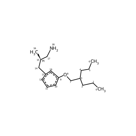 CCCC(CCC)COc1cccc(C[C@@H](C)CN)c1